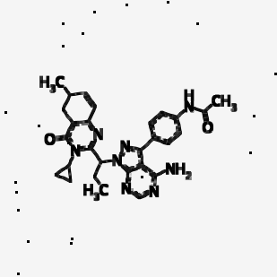 CCC(c1nc2c(c(=O)n1C1CC1)CC(C)C=C2)n1nc(-c2ccc(NC(C)=O)cc2)c2c(N)ncnc21